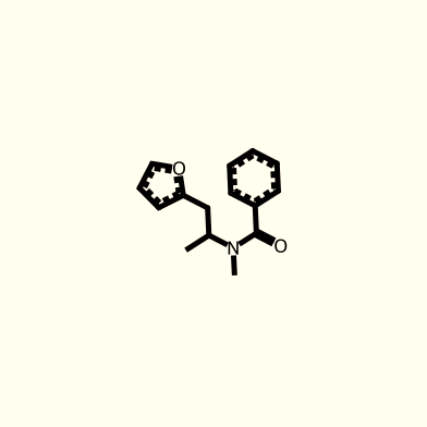 CC(Cc1ccco1)N(C)C(=O)c1ccccc1